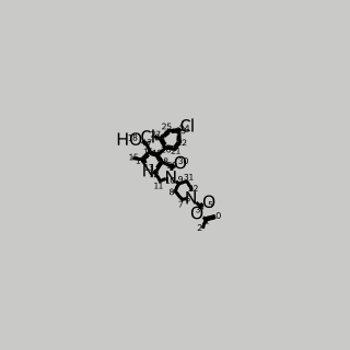 C=C(C)OC(=O)N1CCC(N2Cc3nc(C)c(CO)c(-c4ccc(Cl)cc4Cl)c3C2=O)CC1